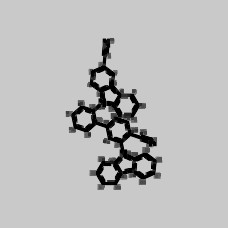 N#Cc1ccc2c(c1)c1ccccc1n2-c1ccccc1-c1ccc(C#N)c(-n2c3ccccc3c3ccccc32)c1